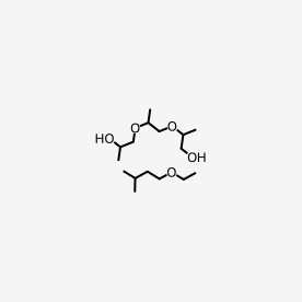 CC(O)COC(C)COC(C)CO.CCOCCC(C)C